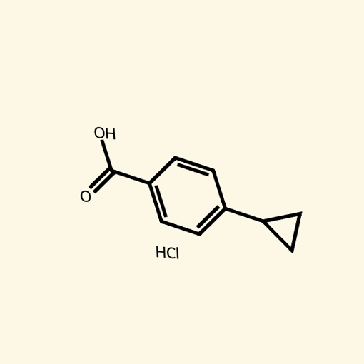 Cl.O=C(O)c1ccc(C2CC2)cc1